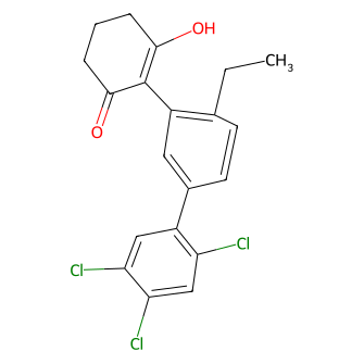 CCc1ccc(-c2cc(Cl)c(Cl)cc2Cl)cc1C1=C(O)CCCC1=O